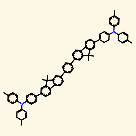 CC1=CCC(N(C2=CC=C(c3ccc4c(c3)C(C)(C)c3cc(-c5ccc(-c6ccc7c(c6)C(C)(C)c6cc(-c8ccc(N(C9=CCC(C)C=C9)c9ccc(C)cc9)cc8)ccc6-7)cc5)ccc3-4)CC2)c2ccc(C)cc2)C=C1